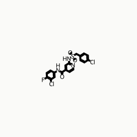 O=C(Nc1ccc(F)c(Cl)c1)c1ccnc(NS(=O)(=O)Cc2ccc(Cl)cc2)c1